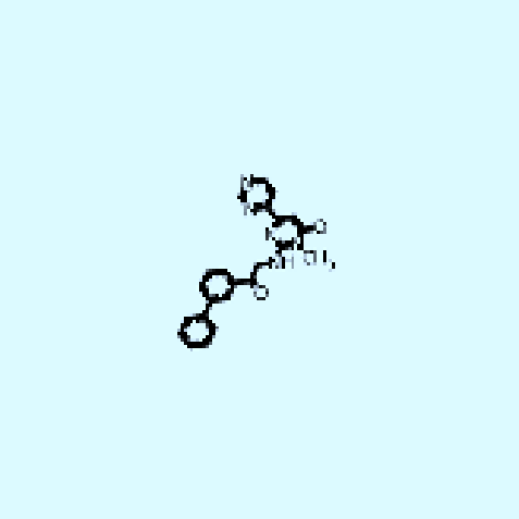 Cn1c(NCC(=O)c2cccc(-c3ccccc3)c2)nc(-c2ccncn2)cc1=O